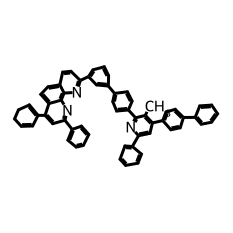 Cc1c(-c2ccc(-c3ccccc3)cc2)cc(-c2ccccc2)nc1-c1ccc(-c2cccc(-c3ccc4ccc5c(C6=CCCC=C6)cc(-c6ccccc6)nc5c4n3)c2)cc1